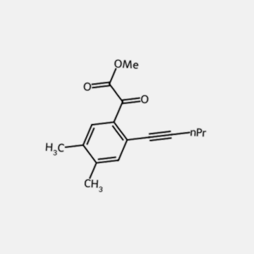 CCCC#Cc1cc(C)c(C)cc1C(=O)C(=O)OC